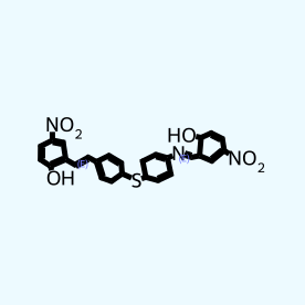 O=[N+]([O-])C1=CC(/C=N/C2=CCC(SC3C=CC(/C=C/c4cc([N+](=O)[O-])ccc4O)=CC3)C=C2)C(O)C=C1